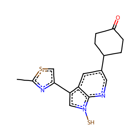 Cc1nc(-c2cn(S)c3ncc(C4CCC(=O)CC4)cc23)cs1